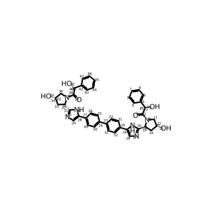 O=C([C@H](O)c1ccccc1)N1C[C@H](O)C[C@H]1c1ncc(-c2ccc(-c3ccc(-c4cnc([C@@H]5C[C@H](O)CN5C(=O)[C@H](O)c5ccccc5)[nH]4)cc3)cc2)[nH]1